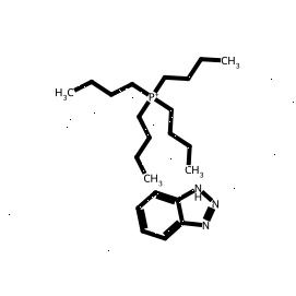 CCCC[P+](CCCC)(CCCC)CCCC.c1ccc2[nH]nnc2c1